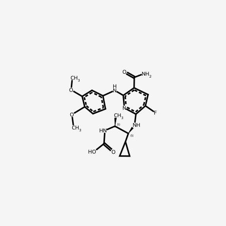 COc1ccc(Nc2nc(N[C@@H](C3CC3)[C@H](C)NC(=O)O)c(F)cc2C(N)=O)cc1OC